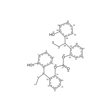 CCC(c1ccccc1O)c1ccccc1OC(=O)Oc1ccccc1C(CC)c1ccccc1O